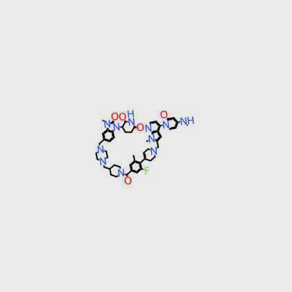 CNc1ccn(-c2ccnc3c2cc(CN2CC=C(c4c(C)cc(C(=O)N5CCC(CN6CCN(Cc7ccc8c(c7)n(C)c(=O)n8C7CCC(=O)NC7=O)CC6)CC5)cc4F)CC2)n3C)c(=O)c1